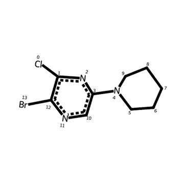 Clc1nc(N2CCCCC2)cnc1Br